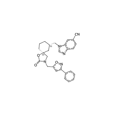 N#Cc1ccc2ncn(C[C@H]3CCC[C@]4(C3)CN(Cc3cc(-c5ccccc5)no3)C(=O)O4)c2c1